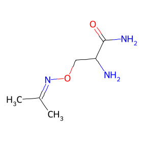 CC(C)=NOCC(N)C(N)=O